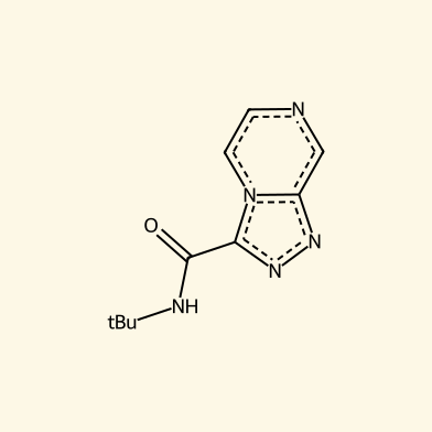 CC(C)(C)NC(=O)c1nnc2cnccn12